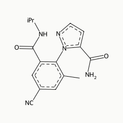 Cc1cc(C#N)cc(C(=O)NC(C)C)c1-n1nccc1C(N)=O